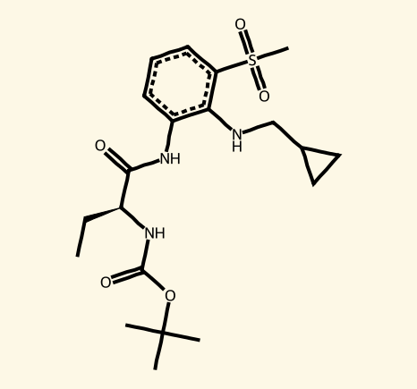 CC[C@H](NC(=O)OC(C)(C)C)C(=O)Nc1cccc(S(C)(=O)=O)c1NCC1CC1